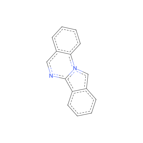 c1ccc2c(c1)cn1c3ccccc3cnc21